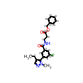 CCc1cnn(C)c1-c1cc(F)cc(C(=O)NCCC(=O)OCc2ccccc2)c1